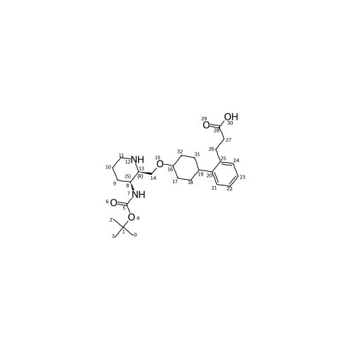 CC(C)(C)OC(=O)N[C@H]1CCCN[C@H]1COC1CCC(c2ccccc2CCC(=O)O)CC1